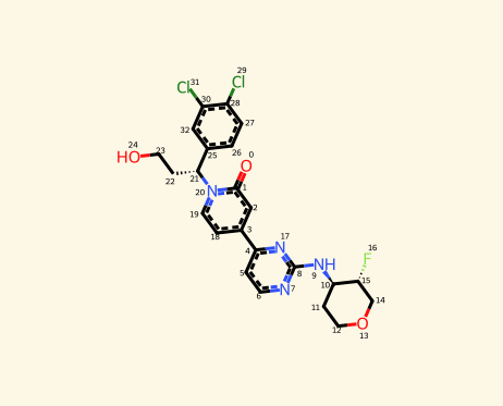 O=c1cc(-c2ccnc(N[C@@H]3CCOC[C@H]3F)n2)ccn1[C@H](CCO)c1ccc(Cl)c(Cl)c1